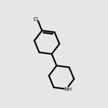 ClC1=CCC(C2CCNCC2)CC1